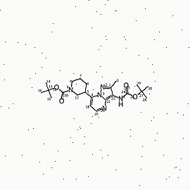 Cc1nn2c(C3CCCN(C(=O)OC(C)(C)C)C3)ccnc2c1NC(=O)OC(C)(C)C